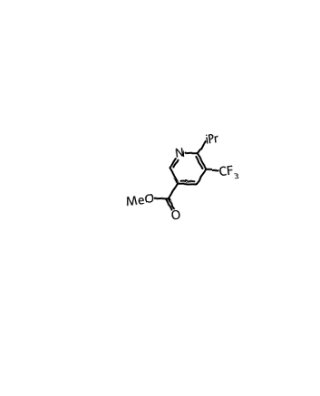 COC(=O)c1cnc(C(C)C)c(C(F)(F)F)c1